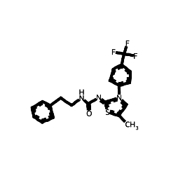 Cc1cn(-c2ccc(C(F)(F)F)cc2)c(=NC(=O)NCCc2ccccc2)s1